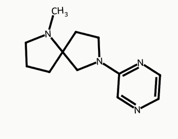 CN1CCCC12CCN(c1cnccn1)C2